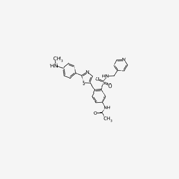 CNc1ccc(-c2ncc(-c3ccc(NC(C)=O)cc3S(=O)(=O)NCc3ccncc3)s2)cc1